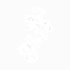 O=c1[nH]c2sccc2c(=O)n1-c1cc(S(=O)(=O)N2CCCc3ccccc32)ccc1Cl